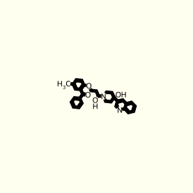 Cc1ccc(OCCC(O)N2CCC(O)(c3cnc4ccccc4c3)CC2)c(C(=O)c2ccccc2)c1